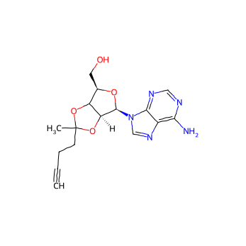 C#CCCC1(C)OC2[C@@H](CO)O[C@@H](n3cnc4c(N)ncnc43)[C@H]2O1